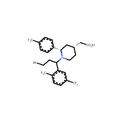 CCOC(=O)C[C@@H]1CCN(C(CCC(C)C)c2cc(C(F)(F)F)ccc2C(F)(F)F)[C@H](c2ccc(C(F)(F)F)cc2)C1